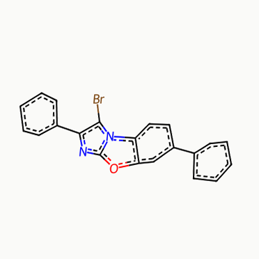 Brc1c(-c2ccccc2)nc2oc3cc(-c4ccccc4)ccc3n12